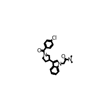 CN(C)C(=O)Cn1cc(C2CCN(C(=O)c3ccc(Cl)cc3)C2)c2ccccc21